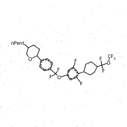 CCCCCC1CCC(c2ccc(C(F)(F)Oc3cc(F)c(C4CCC(C(F)(F)OC(F)(F)F)CC4)c(F)c3)cc2)OC1